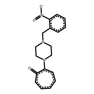 O=c1cccccc1N1CCN(Cc2ccccc2[N+](=O)[O-])CC1